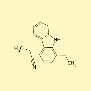 CCC#N.CCc1cccc2c1[nH]c1ccccc12